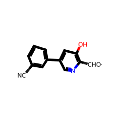 N#Cc1cccc(-c2cnc([C]=O)c(O)c2)c1